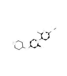 Cc1nc(S(C)(=O)=O)ccc1-n1ccc(OC2CCNCC2)cc1=O